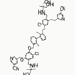 Cc1c(CCc2cc(CCc3cncc(C#N)c3)c(CNC(C)(CO)CC#N)cc2Cl)cccc1-c1cccc(COc2cc(OCc3cncc(C#N)c3)c(CNC(C)(C)CO)cc2Cl)c1C